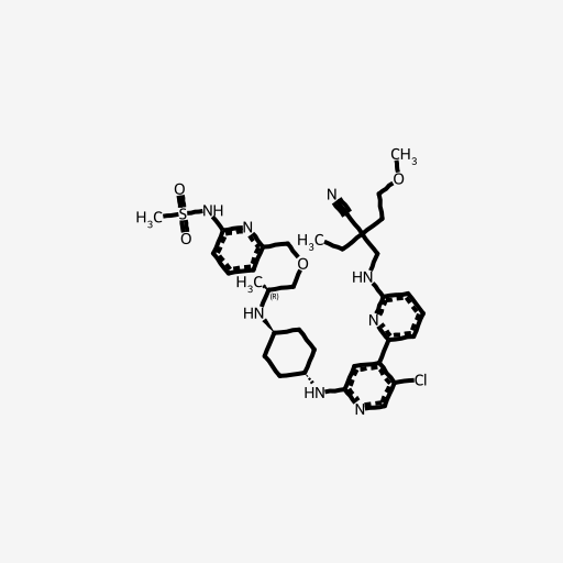 CCC(C#N)(CCOC)CNc1cccc(-c2cc(N[C@H]3CC[C@H](N[C@H](C)COCc4cccc(NS(C)(=O)=O)n4)CC3)ncc2Cl)n1